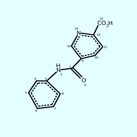 O=C(Nc1ccccc1)c1ccc(C(=O)O)nc1